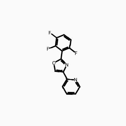 Fc1ccc(F)c(-c2nc(-c3ccccn3)co2)c1F